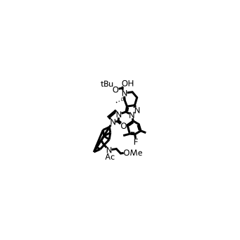 COCCN(C(C)=O)C12C3C4C35C1C13C2C1C4(n1ccn(-c2c4c(nn2-c2cc(C)c(F)c(C)c2)CCN(C(O)OC(C)(C)C)[C@H]4C)c1=O)C53